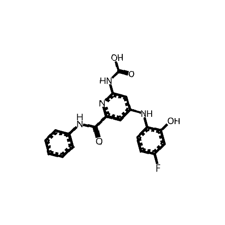 O=C(O)Nc1cc(Nc2ccc(F)cc2O)cc(C(=O)Nc2ccccc2)n1